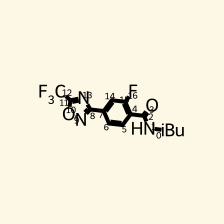 CCC(C)NC(=O)c1ccc(-c2noc(C(F)(F)F)n2)cc1F